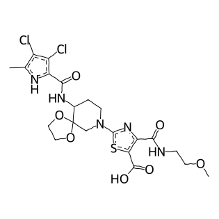 COCCNC(=O)c1nc(N2CCC(NC(=O)c3[nH]c(C)c(Cl)c3Cl)C3(C2)OCCO3)sc1C(=O)O